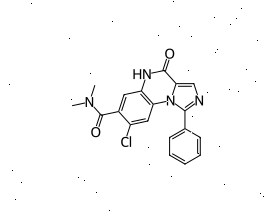 CN(C)C(=O)c1cc2[nH]c(=O)c3cnc(-c4ccccc4)n3c2cc1Cl